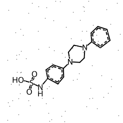 O=S(=O)(O)Nc1ccc(N2CCN(c3ccccc3)CC2)cc1